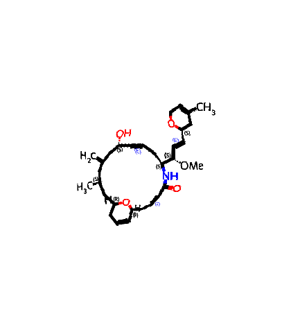 C=C1C[C@H](C)C[C@@H]2CC=C[C@@H](C/C=C\C(=O)N[C@H]([C@H](/C=C/[C@@H]3CC(C)=CCO3)OC)C/C=C/[C@@H](O)C1)O2